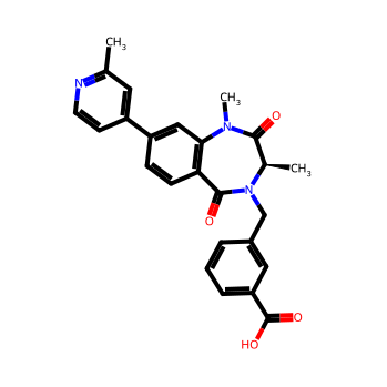 Cc1cc(-c2ccc3c(c2)N(C)C(=O)[C@@H](C)N(Cc2cccc(C(=O)O)c2)C3=O)ccn1